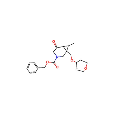 CC1C2C(=O)CN(C(=O)OCc3ccccc3)CC12COC1CCOCC1